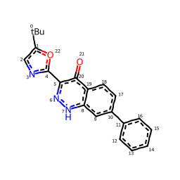 CC(C)(C)c1cnc(-c2n[nH]c3cc(-c4ccccc4)ccc3c2=O)o1